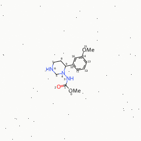 COC(=O)NN1CNCCC1c1cccc(OC)c1